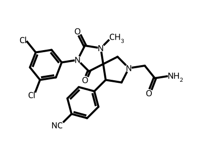 CN1C(=O)N(c2cc(Cl)cc(Cl)c2)C(=O)C12CN(CC(N)=O)CC2c1ccc(C#N)cc1